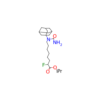 CC(C)OC(=O)C(F)CCCCCCN(C(N)=O)C12CC3CC(CC(C3)C1)C2